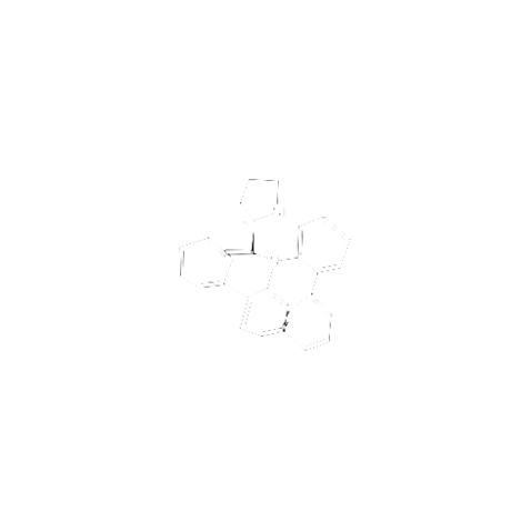 C=C([C@H]1CCCN1)N(c1ccccc1-c1ccccc1)c1ccccc1-c1ccccc1